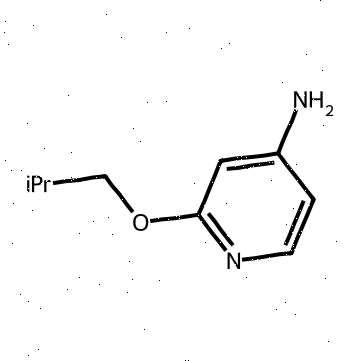 CC(C)COc1cc(N)ccn1